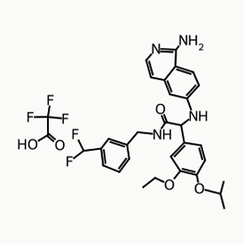 CCOc1cc(C(Nc2ccc3c(N)nccc3c2)C(=O)NCc2cccc(C(F)F)c2)ccc1OC(C)C.O=C(O)C(F)(F)F